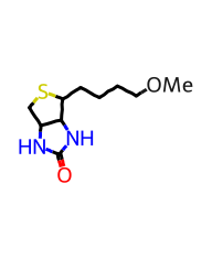 COCCCCC1SCC2NC(=O)NC21